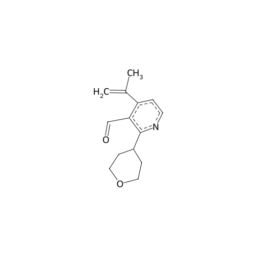 C=C(C)c1ccnc(C2CCOCC2)c1C=O